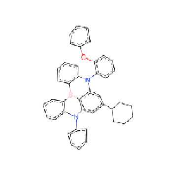 c1ccc(Oc2ccccc2N2c3ccccc3B3c4ccccc4N(c4ccccc4)c4cc(C5CCCCC5)cc2c43)cc1